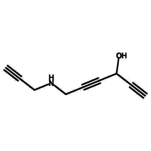 C#CCNCC#CC(O)C#C